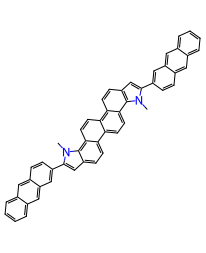 Cn1c(-c2ccc3cc4ccccc4cc3c2)cc2ccc3c4ccc5c(ccc6cc(-c7ccc8cc9ccccc9cc8c7)n(C)c65)c4ccc3c21